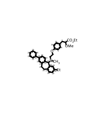 CCOC(=O)C(Cc1ccc(OCCN(C)C2c3ccc(-c4ccccc4)cc3CCc3ccc(CC)cc32)cc1)OC